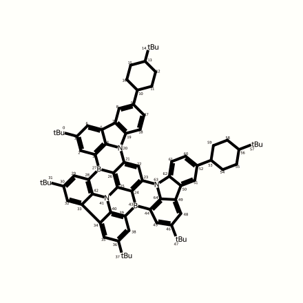 CC(C)(C)c1cc2c3c(c1)c1cc(C4CCC(C(C)(C)C)CC4)ccc1n3-c1cc3c4c5c1B2c1cc(C(C)(C)C)cc2c6cc(C(C)(C)C)cc(c6n-5c12)B4c1cc(C(C)(C)C)cc2c4cc(C5CCC(C(C)(C)C)CC5)ccc4n-3c12